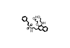 O=C=COc1c(CCNS(=O)(=O)C=Cc2ccccc2)cc2ccccc2c1NCCO